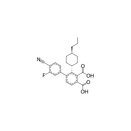 CCC[C@H]1CC[C@H](c2c(-c3ccc(C#N)c(F)c3)ccc(C(=O)O)c2C(=O)O)CC1